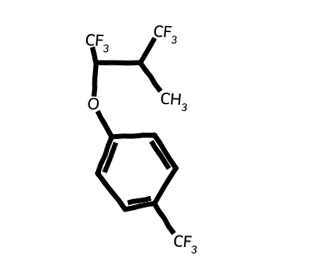 CC(C(Oc1ccc(C(F)(F)F)cc1)C(F)(F)F)C(F)(F)F